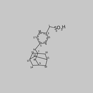 O=S(=O)(O)Cc1ccc(CC23CC4CC(CC(C4)C2)C3)cc1